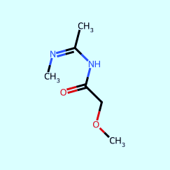 C/N=C(/C)NC(=O)COC